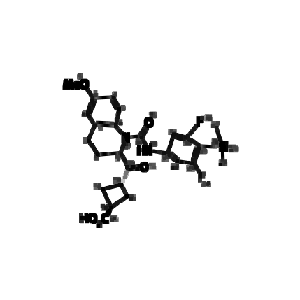 COc1ccc2c(c1)CCC(C(=O)[C@H]1C[C@H](C(=O)O)C1)N2C(=O)Nc1cc(F)c([Si](C)(C)C)c(F)c1